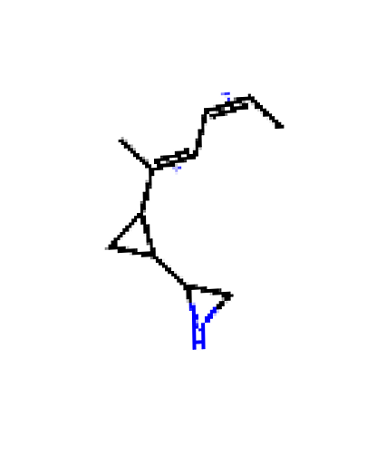 C/C=C\C=C(/C)C1CC1C1CN1